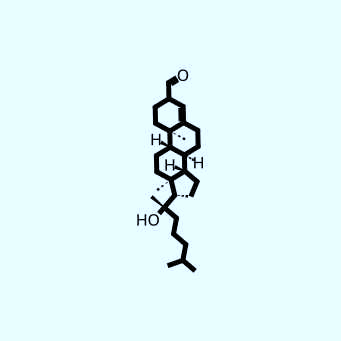 CC(C)CCC[C@](C)(O)[C@H]1CC[C@H]2[C@@H]3CCC4=CC(C=O)CC[C@]4(C)[C@H]3CC[C@@]21C